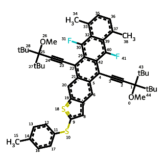 COC(C#Cc1c2cc3cc(Sc4ccc(C)cc4)sc3cc2c(C#CC(OC)(C(C)(C)C)C(C)(C)C)c2c(F)c3c(C)ccc(C)c3c(F)c12)(C(C)(C)C)C(C)(C)C